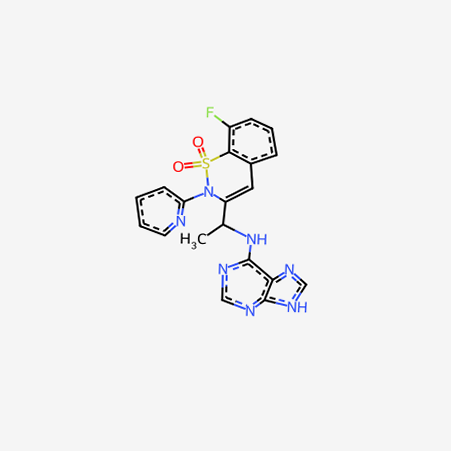 CC(Nc1ncnc2[nH]cnc12)C1=Cc2cccc(F)c2S(=O)(=O)N1c1ccccn1